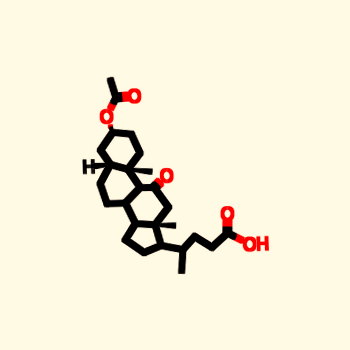 CC(=O)O[C@@H]1CC[C@]2(C)C3C(=O)C[C@]4(C)C(C(C)CCC(=O)O)CCC4C3CC[C@@H]2C1